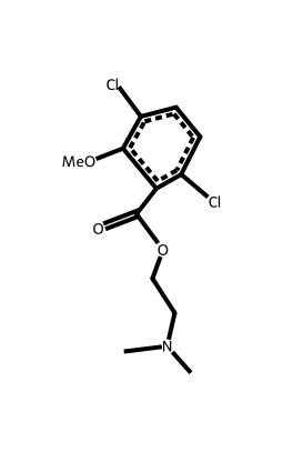 COc1c(Cl)ccc(Cl)c1C(=O)OCCN(C)C